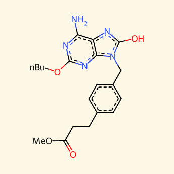 CCCCOc1nc(N)c2nc(O)n(Cc3ccc(CCC(=O)OC)cc3)c2n1